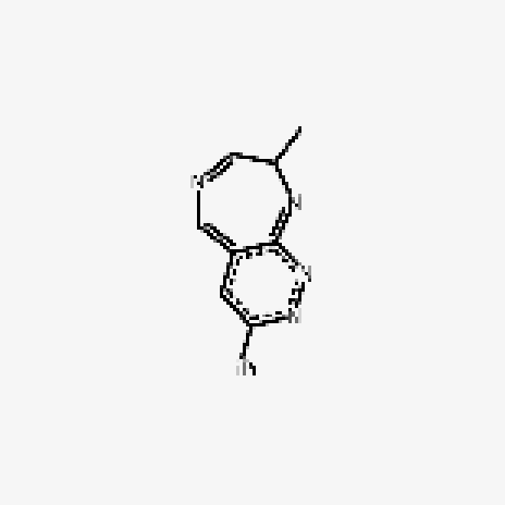 CC1C=NC=c2cc(C(C)C)nnc2=N1